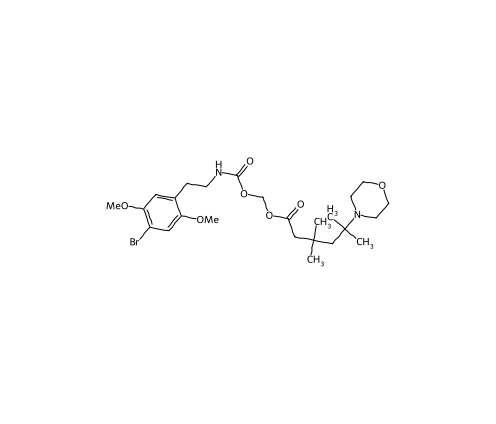 COc1cc(CCNC(=O)OCOC(=O)CC(C)(C)CC(C)(C)N2CCOCC2)c(OC)cc1Br